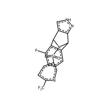 O=S(=O)(c1ccc(C(F)(F)F)nc1)N1C2c3cccc(F)c3C1c1c[nH]nc12